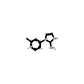 Cc1cc(N2C=CNC2N)ccn1